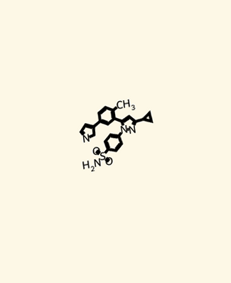 Cc1ccc(C2=CC=NC2)cc1-c1cc(C2CC2)nn1-c1ccc(S(N)(=O)=O)cc1